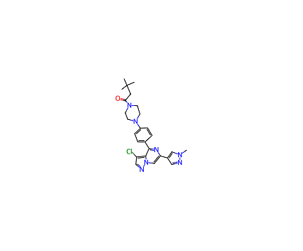 Cn1cc(-c2cn3ncc(Cl)c3c(-c3ccc(N4CCN(C(=O)CC(C)(C)C)CC4)cc3)n2)cn1